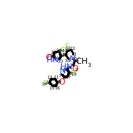 CC(C(=O)Nc1ncc(Oc2ccc(F)cc2)cc1F)N1CCC(F)(F)[C@@H](c2ccc(=O)[nH]c2)C1